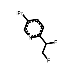 CC(C)c1ccc(C(F)CF)nc1